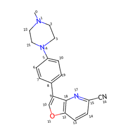 CN1CCN(c2ccc(-c3coc4ccc(C#N)nc34)cc2)CC1